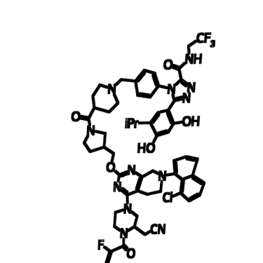 C=C(F)C(=O)N1CCN(c2nc(OCC3CCN(C(=O)C4CCN(Cc5ccc(-n6c(C(=O)NCC(F)(F)F)nnc6-c6cc(C(C)C)c(O)cc6O)cc5)CC4)C3)nc3c2CCN(c2cccc4cccc(Cl)c24)C3)CC1CC#N